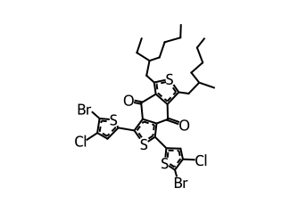 CCCCC(C)Cc1sc(CC(CC)CCCC)c2c1C(=O)c1c(-c3cc(Cl)c(Br)s3)sc(-c3cc(Cl)c(Br)s3)c1C2=O